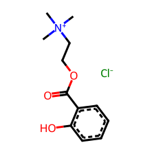 C[N+](C)(C)CCOC(=O)c1ccccc1O.[Cl-]